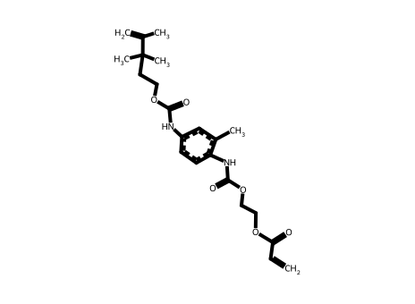 C=CC(=O)OCCOC(=O)Nc1ccc(NC(=O)OCCC(C)(C)C(=C)C)cc1C